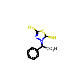 O=C(O)C(c1ccccc1)N1N=C(S)SC1S